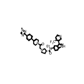 CCN(C(=O)[C@@H]1CCN(CC(=O)N2CC=C(c3ccc(-c4ncn(C)n4)cc3)CC2)C1)c1ccc2[nH]nc(-c3cnccc3C(F)(F)F)c2c1